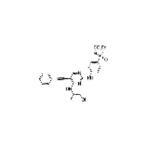 CCOC(=O)N=S(C)(=O)c1ccc(Nc2ncc(C#Cc3ccccc3)c(N[C@H](C)CO)n2)cc1